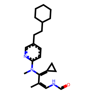 C/C(=C/NC=O)C(=C1CC1)N(C)c1ccc(CCC2CCCCC2)cn1